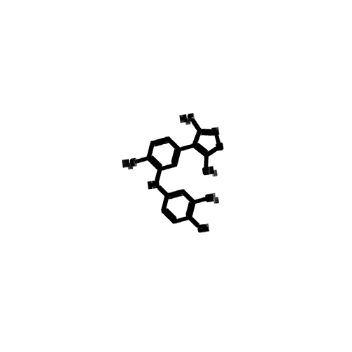 Cc1ccc(-c2c(C)noc2C)cc1Nc1ccc(C#N)c(C(F)(F)F)c1